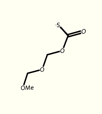 COCOCOC(=O)[S]